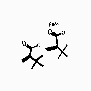 C=C(C(=O)[O-])C(C)(C)C.C=C(C(=O)[O-])C(C)(C)C.[Fe+2]